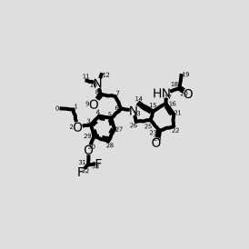 CCOc1cc(C(CC(=O)N(C)C)N2C=C3C(NC(C)=O)=CCC(=O)C3C2)ccc1OC(F)F